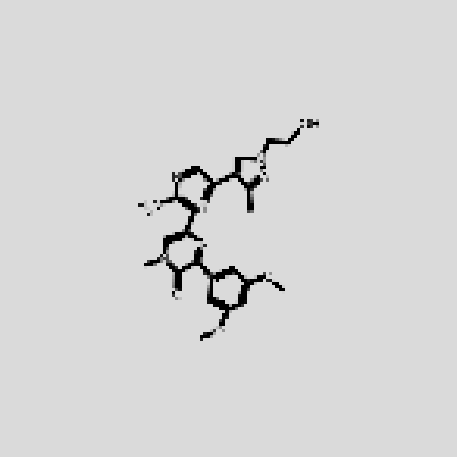 COc1cc(OC)cc(-c2nc(-c3nc(-c4cn(CCO)nc4C)cnc3N)cn(C)c2=O)c1